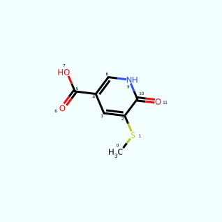 CSc1cc(C(=O)O)c[nH]c1=O